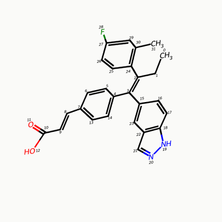 CC/C(=C(/c1ccc(/C=C/C(=O)O)cc1)c1ccc2[nH]ncc2c1)c1ccc(F)cc1C